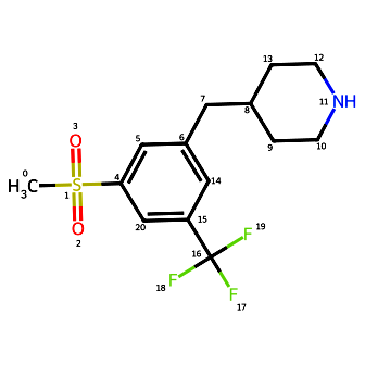 CS(=O)(=O)c1cc(CC2CCNCC2)cc(C(F)(F)F)c1